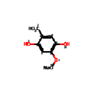 COOc1cc(O)c(C(=O)O)cc1O